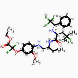 CCOC(=O)C(F)(F)Oc1ccc(NC[C@H](CC)NC(=O)[C@H](CC(C)(C)F)N[C@@H](c2ccccc2)C(F)(F)F)c(OC)c1